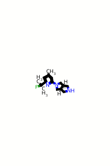 Cc1cc(N2C[C@H]3CNC[C@H]3C2)nc(C(C)(C)F)c1